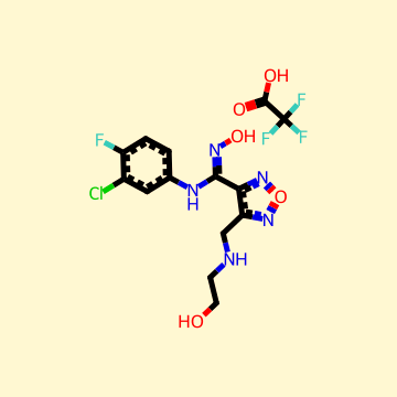 O=C(O)C(F)(F)F.OCCNCc1nonc1/C(=N\O)Nc1ccc(F)c(Cl)c1